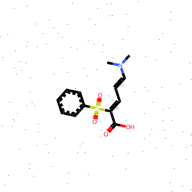 CN(C)/C=C/C=C(/C(=O)O)S(=O)(=O)c1ccccc1